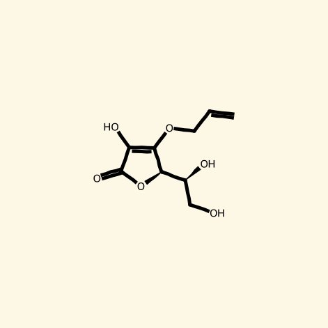 C=CCOC1=C(O)C(=O)O[C@@H]1[C@@H](O)CO